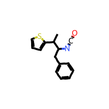 CC(c1cccs1)C(Cc1ccccc1)N=C=O